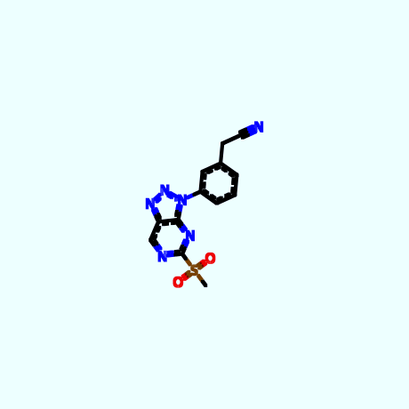 CS(=O)(=O)c1ncc2nnn(-c3cccc(CC#N)c3)c2n1